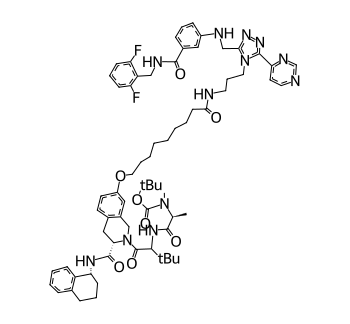 C[C@@H](C(=O)NC(C(=O)N1Cc2cc(OCCCCCCCCC(=O)NCCCn3c(CNc4cccc(C(=O)NCc5c(F)cccc5F)c4)nnc3-c3ccncn3)ccc2C[C@H]1C(=O)N[C@@H]1CCCc2ccccc21)C(C)(C)C)N(C)C(=O)OC(C)(C)C